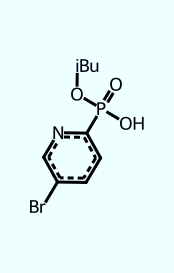 CCC(C)OP(=O)(O)c1ccc(Br)cn1